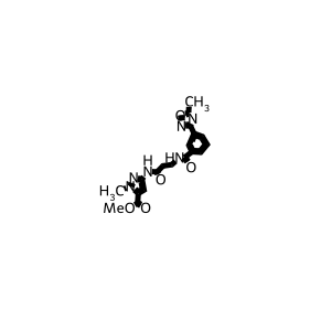 COC(=O)c1cc(NC(=O)CCNC(=O)c2cccc(-c3noc(C)n3)c2)nn1C